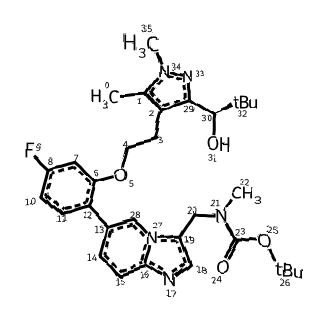 Cc1c(CCOc2cc(F)ccc2-c2ccc3ncc(CN(C)C(=O)OC(C)(C)C)n3c2)c([C@H](O)C(C)(C)C)nn1C